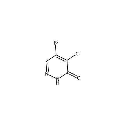 O=c1[nH]ncc(Br)c1Cl